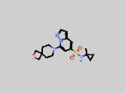 CC1(NS(=O)(=O)c2cc(N3CCC4(CC3)COC4)n3nccc3c2)CC1